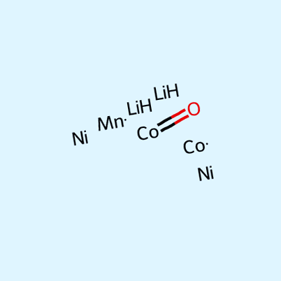 [Co].[LiH].[LiH].[Mn].[Ni].[Ni].[O]=[Co]